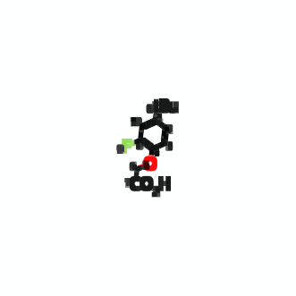 CC(C)(C)c1ccc(OCC(=O)O)c(F)c1